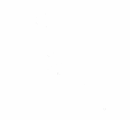 COCCCOC(=O)c1ccc(NC(=O)[C@@H]2[C@H](C3CCCCC3)CCN2C(=O)C2CCC([C@@H](CF)NC(=O)OC(C)(C)C)CC2)cc1